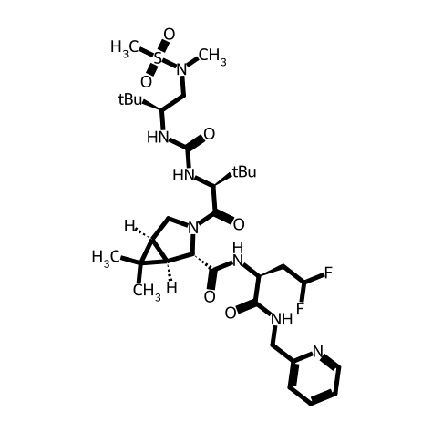 CN(C[C@@H](NC(=O)N[C@H](C(=O)N1C[C@H]2[C@@H]([C@H]1C(=O)N[C@@H](CC(F)F)C(=O)NCc1ccccn1)C2(C)C)C(C)(C)C)C(C)(C)C)S(C)(=O)=O